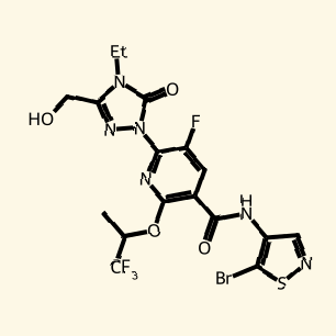 CCn1c(CO)nn(-c2nc(OC(C)C(F)(F)F)c(C(=O)Nc3cnsc3Br)cc2F)c1=O